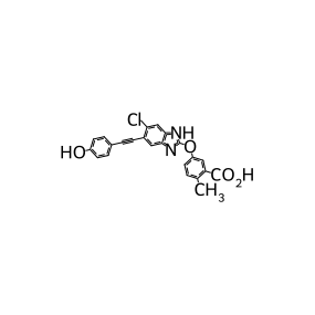 Cc1ccc(Oc2nc3cc(C#Cc4ccc(O)cc4)c(Cl)cc3[nH]2)cc1C(=O)O